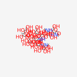 CC(=O)NC1C(O)[C@H](O)[C@H](CO)O[C@H]1OC1[C@@H](OCC2O[C@@H](O[C@@H]3C(CO)O[C@@H](O[C@@H]4C(CO)O[C@@H](C)C(NC(C)=O)[C@H]4O)C(NC(C)=O)[C@H]3O)C(O)[C@@H](O[C@H]3OC(CO)[C@@H](O)C(O)C3O[C@@H]3OC(CO)[C@@H](O[C@@H]4OC(CO[C@]5(OC=O)C[C@@H](O)[C@@H](C)C([C@H](O)[C@H](O)CO)O5)[C@H](O)[C@H](O)C4O)[C@H](O)C3NC(C)=O)[C@@H]2O)OC(CO)[C@@H](O)[C@@H]1O